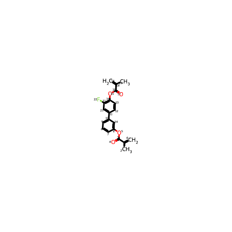 C=C(C)C(=O)Oc1cccc(-c2ccc(OC(=O)C(=C)C)c(F)c2)c1